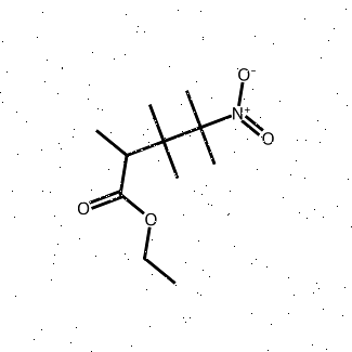 CCOC(=O)C(C)C(C)(C)C(C)(C)[N+](=O)[O-]